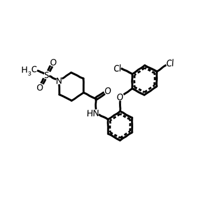 CS(=O)(=O)N1CCC(C(=O)Nc2ccccc2Oc2ccc(Cl)cc2Cl)CC1